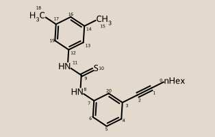 CCCCCCC#Cc1cccc(NC(=S)Nc2cc(C)cc(C)c2)c1